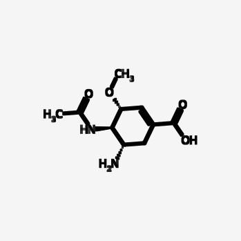 CO[C@@H]1C=C(C(=O)O)C[C@H](N)[C@H]1NC(C)=O